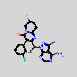 CC(c1nc2ccc(F)cn2c(=O)c1-c1cccc(F)c1)n1nc(I)c2c(N)ncnc21